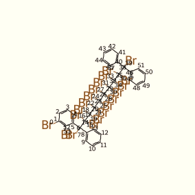 Brc1cccc(C(Br)(c2ccccc2)C(Br)(Br)C(Br)(Br)C(Br)(Br)C(Br)(Br)C(Br)(Br)C(Br)(Br)C(Br)(Br)C(Br)(Br)C(Br)(c2ccccc2)c2ccccc2)c1Br